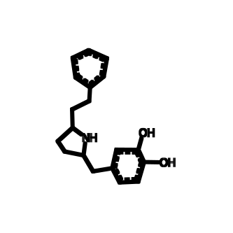 Oc1ccc(CC2CCC(CCc3ccccc3)N2)cc1O